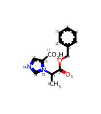 C[C](C(=O)OCc1ccccc1)n1cncc1C(=O)O